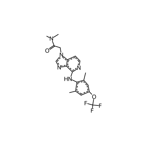 Cc1cc(OC(F)(F)F)cc(C)c1Nc1nccc2c1ncn2CC(=O)N(C)C